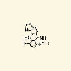 CNC(c1cc(F)ccc1F)c1ccc2cccnc2c1O